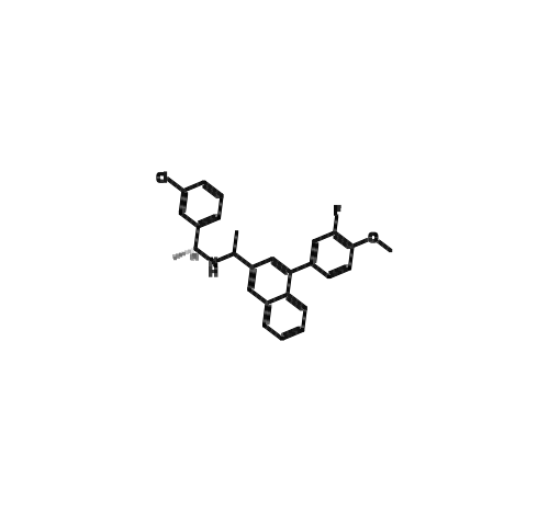 COc1ccc(-c2cc(C(C)N[C@H](C)c3cccc(Cl)c3)cc3ccccc23)cc1F